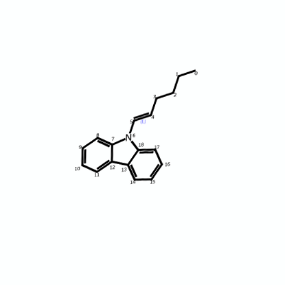 CCCC/C=C/n1c2ccccc2c2ccccc21